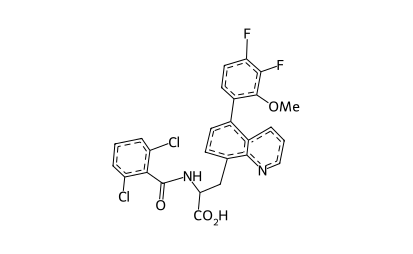 COc1c(-c2ccc(CC(NC(=O)c3c(Cl)cccc3Cl)C(=O)O)c3ncccc23)ccc(F)c1F